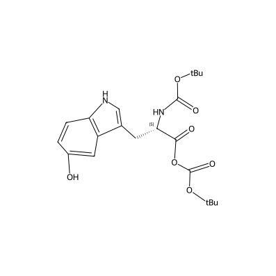 CC(C)(C)OC(=O)N[C@@H](Cc1c[nH]c2ccc(O)cc12)C(=O)OC(=O)OC(C)(C)C